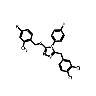 Fc1ccc(-n2c(Cc3ccc(Cl)c(Cl)c3)nnc2SCc2ccc(F)cc2C(F)(F)F)cc1